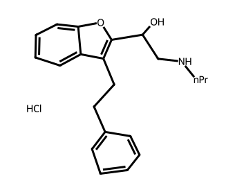 CCCNCC(O)c1oc2ccccc2c1CCc1ccccc1.Cl